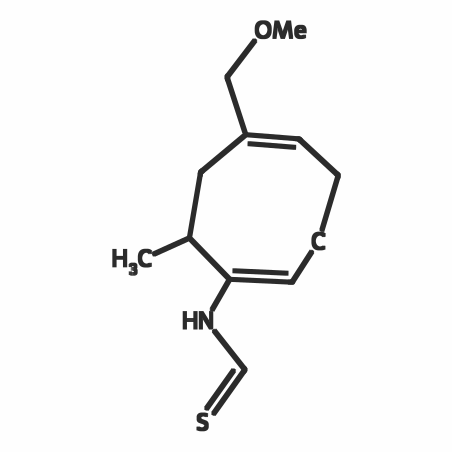 COC/C1=C/CC/C=C(/NC=S)C(C)C1